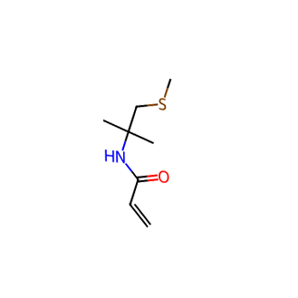 C=CC(=O)NC(C)(C)CSC